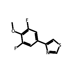 COc1c(F)cc(-c2cscn2)cc1F